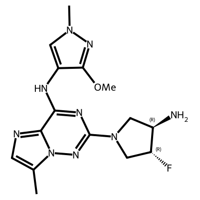 COc1nn(C)cc1Nc1nc(N2C[C@@H](N)[C@H](F)C2)nn2c(C)cnc12